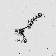 Cc1ncsc1-c1ccc(CNC(=O)[C@@H]2C[C@@H](O)CN2C(=O)C(NC(=O)CCCCCNC(=O)CC2CCN(Cc3nc4cc(NC(=O)c5ccc6c(cnn6C)c5)ccc4[nH]3)C2)C(C)(C)C)cc1